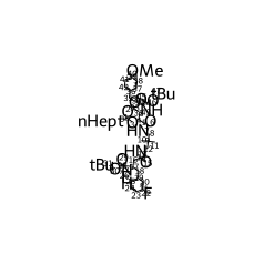 CCCCCCCC(=O)O[C@H](C(=O)NCC(C)(C)CNC(=O)C[C@@H](Cc1cc(F)ccc1F)NC(=O)OC(C)(C)C)[C@@H](COCc1ccc(OC)cc1)NC(=O)OC(C)(C)C